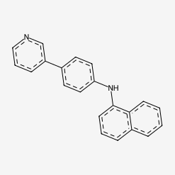 c1cncc(-c2ccc(Nc3cccc4ccccc34)cc2)c1